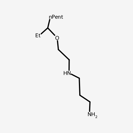 CCCCCC(CC)OCCNCCCN